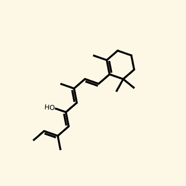 CC=C(C)C=C(O)C=C(C)C=CC1=C(C)CCCC1(C)C